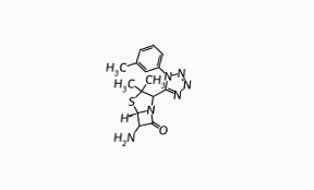 Cc1cccc(-n2nnnc2C2N3C(=O)C(N)[C@@H]3SC2(C)C)c1